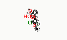 COC(C)=C(C(=O)O)c1ccccc1COc1cc(Cl)c(OCCC(C)(C)C)c(Cl)c1